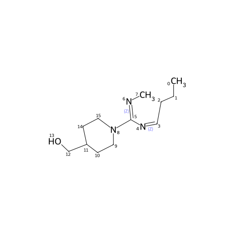 CCC/C=N\C(=N/C)N1CCC(CO)CC1